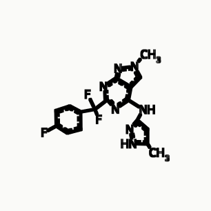 Cc1cc(Nc2nc(C(F)(F)c3ccc(F)cc3)nc3nn(C)cc23)n[nH]1